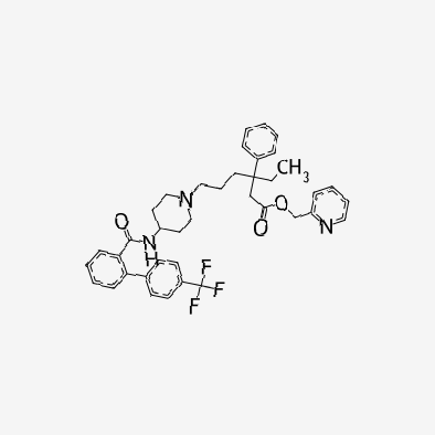 CCC(CCCN1CCC(NC(=O)c2ccccc2-c2ccc(C(F)(F)F)cc2)CC1)(CC(=O)OCc1ccccn1)c1ccccc1